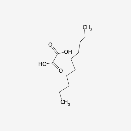 CCCCCCCCCC.O=C(O)C(=O)O